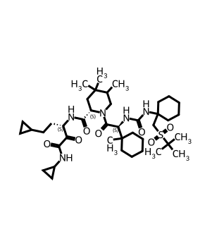 CC1CN(C(=O)[C@@H](NC(=O)NC2(CS(=O)(=O)C(C)(C)C)CCCCC2)C2(C)CCCCC2)[C@H](C(=O)N[C@@H](CCC2CC2)C(=O)C(=O)NC2CC2)CC1(C)C